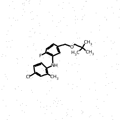 Cc1cc(Cl)ccc1Nc1cc(COCC(C)(C)C)ccc1F